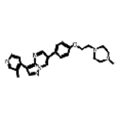 Cc1cnccc1-c1cnn2cc(-c3ccc(OCCN4CCN(C)CC4)cc3)cnc12